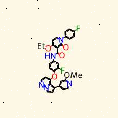 CCOc1ccn(-c2ccc(F)cc2)c(=O)c1C(=O)Nc1ccc(Oc2ccnn3ccc(-c4ccnc(OC)c4)c23)c(F)c1